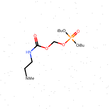 CNCCNC(=O)OCOP(=O)(OCC(C)C)OCC(C)C